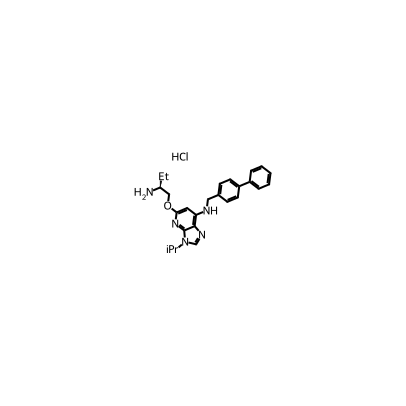 CC[C@H](N)COc1cc(NCc2ccc(-c3ccccc3)cc2)c2ncn(C(C)C)c2n1.Cl